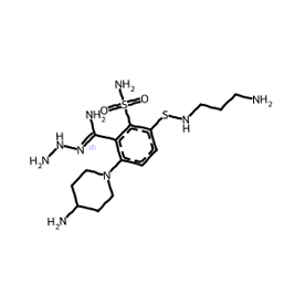 NCCCNSc1ccc(N2CCC(N)CC2)c(/C(N)=N/NN)c1S(N)(=O)=O